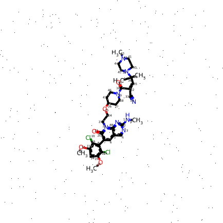 CNc1ncc2cc(-c3c(Cl)c(OC)cc(OC)c3Cl)c(=O)n(CCOC3CCN(C(=O)/C(C#N)=C\C(C)(C)N4CCN(C)CC4)CC3)c2n1